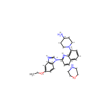 C1COCCN1.CCOc1ccc2c(c1)ncn2-c1ccc2cccc(N3CCC(N)CC3)c2n1